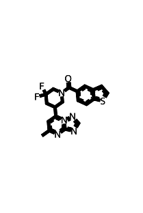 Cc1cc(C2CN(C(=O)c3ccc4sccc4c3)CC(F)(F)C2)n2ncnc2n1